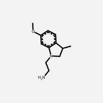 COc1ccc2c(c1)N(CCN)CC2C